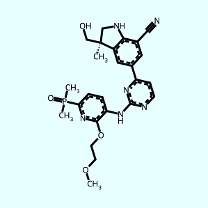 COCCOc1nc(P(C)(C)=O)ccc1Nc1nccc(-c2cc(C#N)c3c(c2)[C@@](C)(CO)CN3)n1